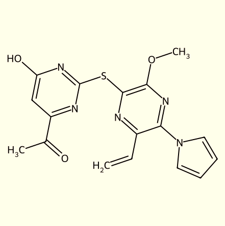 C=Cc1nc(Sc2nc(O)cc(C(C)=O)n2)c(OC)nc1-n1cccc1